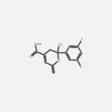 C=C1C=C(C(=O)OC)CC(c2cc(F)cc(F)c2)(C(F)(F)F)O1